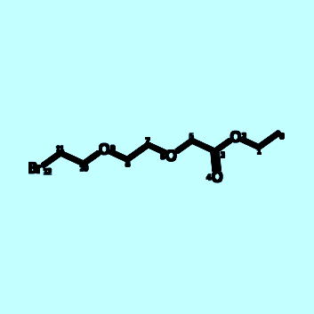 CCOC(=O)COCCOCCBr